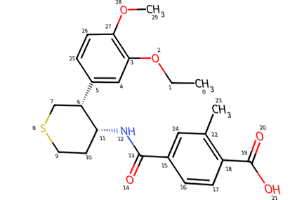 CCOc1cc([C@H]2CSCC[C@H]2NC(=O)c2ccc(C(=O)O)c(C)c2)ccc1OC